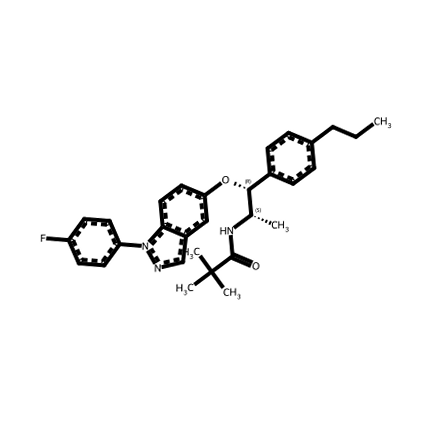 CCCc1ccc([C@@H](Oc2ccc3c(cnn3-c3ccc(F)cc3)c2)[C@H](C)NC(=O)C(C)(C)C)cc1